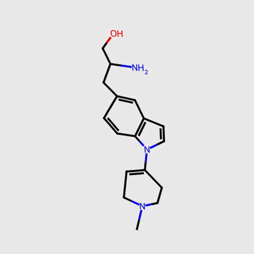 CN1CC=C(n2ccc3cc(CC(N)CO)ccc32)CC1